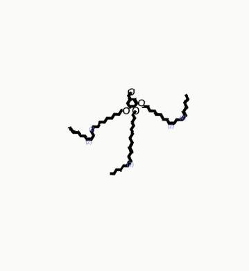 CCCCC/C=C\C/C=C\CCCCCCCCOc1cc(C=O)cc(OCCCCCCCC/C=C\C/C=C\CCCCC)c1OCCCCCCCCCCC/C=C\CCCCC